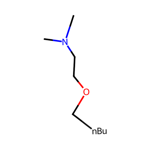 CCCCCOCCN(C)C